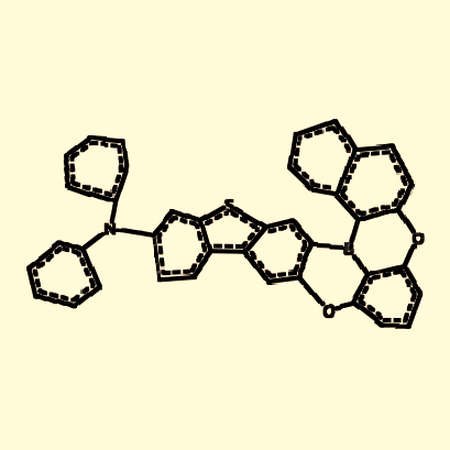 c1ccc(N(c2ccccc2)c2ccc3c(c2)sc2cc4c(cc23)Oc2cccc3c2B4c2c(ccc4ccccc24)O3)cc1